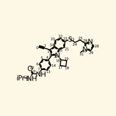 C#Cc1c(-c2ccc(NC(=O)NC(C)C)cc2)n(C2CCC2)c2cc(SCCc3nccn3C)ccc12